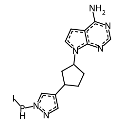 Nc1ncnc2c1ccn2C1CCC(c2cnn(PI)c2)C1